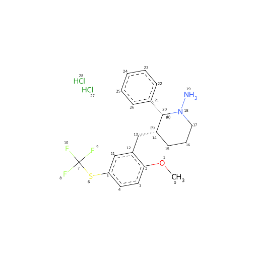 COc1ccc(SC(F)(F)F)cc1C[C@H]1CCCN(N)[C@H]1c1ccccc1.Cl.Cl